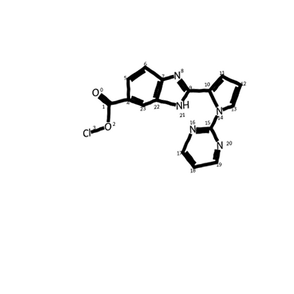 O=C(OCl)c1ccc2nc(-c3cccn3-c3ncccn3)[nH]c2c1